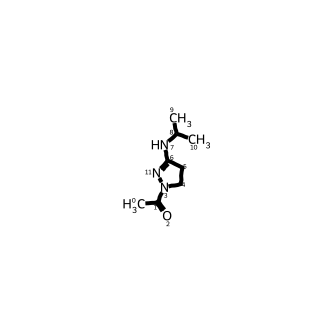 CC(=O)N1CCC(NC(C)C)=N1